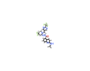 O=C(NC[C@@H](c1cnc(C(F)(F)F)nc1)N1CCC(F)(F)CC1)c1cccc2nc(NC3CC3)ccc12